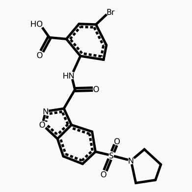 O=C(O)c1cc(Br)ccc1NC(=O)c1noc2ccc(S(=O)(=O)N3CCCC3)cc12